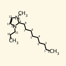 CCCCCCCCCC1N(C)C=CN1CCC